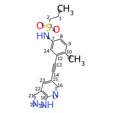 CCCS(=O)(=O)Nc1ccc(C)c(C#Cc2cnc3[nH]ncc3c2)c1